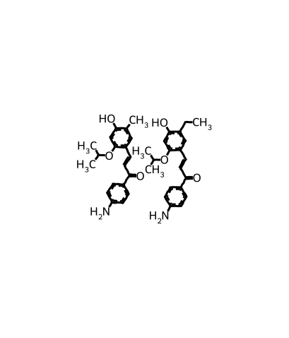 CCc1cc(C=CC(=O)c2ccc(N)cc2)c(OC(C)C)cc1O.Cc1cc(C=CC(=O)c2ccc(N)cc2)c(OC(C)C)cc1O